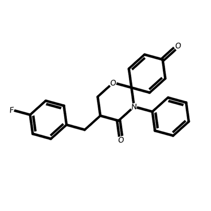 O=C1C=CC2(C=C1)OCC(Cc1ccc(F)cc1)C(=O)N2c1ccccc1